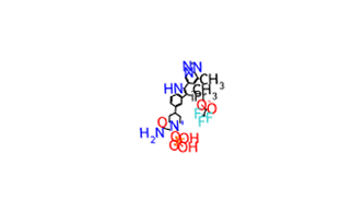 Cc1c(-c2[nH]c3ccc(C4CC[N+](COP(=O)(O)O)(CC(N)=O)CC4)cc3c2C(C)C)cn2ncnc2c1C.O=C([O-])C(F)(F)F